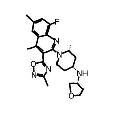 Cc1cc(F)c2nc(N3CC[C@@H](N[C@H]4CCOC4)C[C@H]3C)c(-c3nc(C)no3)c(C)c2c1